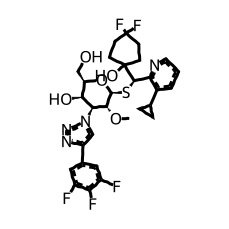 CO[C@@H]1[C@@H](n2cc(-c3cc(F)c(F)c(F)c3)nn2)[C@@H](O)[C@@H](CO)O[C@H]1S[C@H](c1ncccc1C1CC1)C1(O)CCC(F)(F)CC1